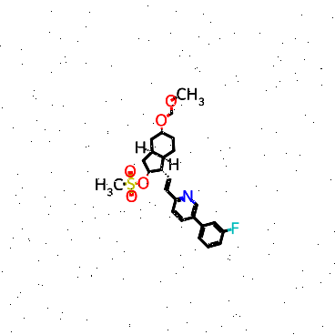 COCO[C@@H]1CC[C@@H]2[C@H](C1)C[C@@H](OS(C)(=O)=O)[C@H]2/C=C/c1ccc(-c2cccc(F)c2)cn1